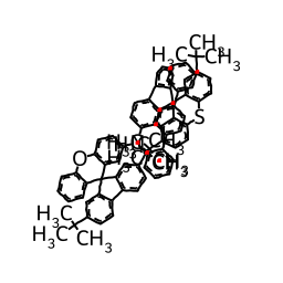 CC(C)(C)c1ccc2c(c1)C1(c3cc(C(C)(C)C)ccc3S2)c2ccccc2-c2ccc(N(c3ccc4c(c3)C3(c5ccccc5O4)c4cc(C(C)(C)C)ccc4-c4ccc(C(C)(C)C)cc43)c3ccccc3-c3ccc(-c4ccccc4)cc3)cc21